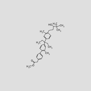 CCC(CC)(c1ccc(CCC(O)C(C)(C)C)c(C)c1)c1ccc(-c2ccc(CC(=O)OC)cc2)c(C)c1